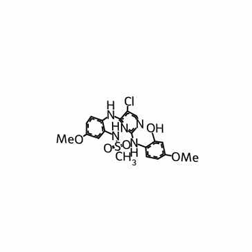 COc1ccc(Nc2ncc(Cl)c(Nc3ccc(OC)cc3NS(C)(=O)=O)n2)c(O)c1